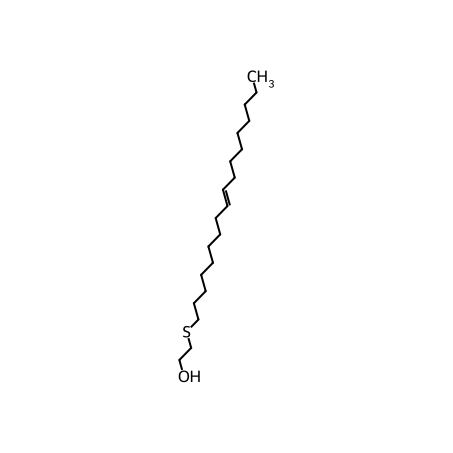 CCCCCCCCC=CCCCCCCCCSCCO